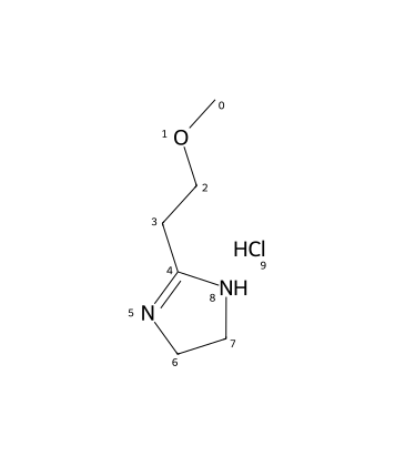 COCCC1=NCCN1.Cl